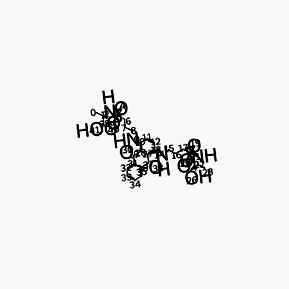 CC(NS(=O)(=O)CCCNc1ccc(NCCCS(=O)(=O)NC(C)C(=O)O)c2c1C(=O)c1ccccc1C2=O)C(=O)O